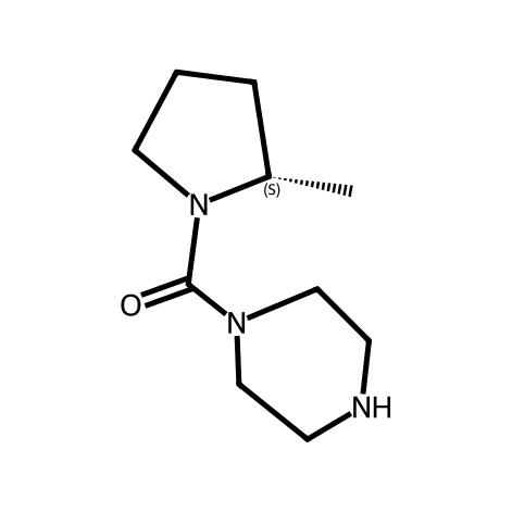 C[C@H]1CCCN1C(=O)N1CCNCC1